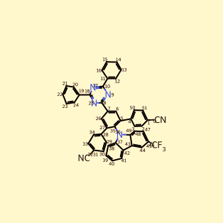 N#Cc1ccc(-c2cc(-c3nc(-c4ccccc4)nc(-c4ccccc4)n3)cc(-c3ccc(C#N)cc3)c2-n2c3ccccc3c3cc(C(F)(F)F)ccc32)cc1